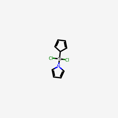 [Cl][Ti]([Cl])([CH]1C=CC=C1)[n]1cccc1